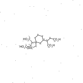 O=CCC1(C(CC(=O)O)C(=O)O)CCCC(C(CC(=O)O)C(=O)O)C1